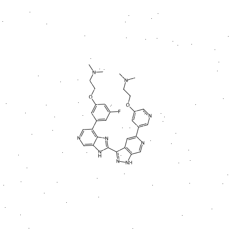 CN(C)CCOc1cncc(-c2cc3c(-c4nc5c(-c6cc(F)cc(OCCN(C)C)c6)cncc5[nH]4)n[nH]c3cn2)c1